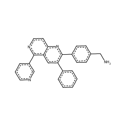 NCc1ccc(-c2nc3ccnc(-c4cccnc4)c3cc2-c2ccccc2)cc1